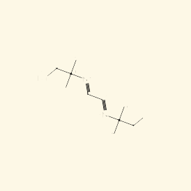 CC(C)(C)CC(C)(C)N=CC=NC(C)(C)CC(C)(C)C